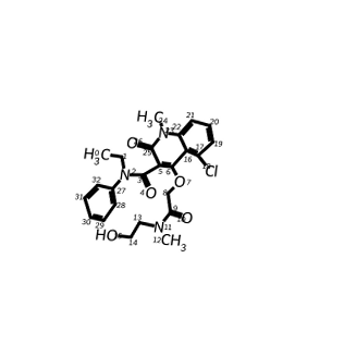 CCN(C(=O)c1c(OCC(=O)N(C)CCO)c2c(Cl)cccc2n(C)c1=O)c1ccccc1